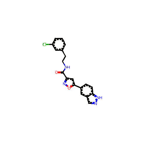 O=C(NCCc1cccc(Cl)c1)c1cc(-c2ccc3[nH]ncc3c2)on1